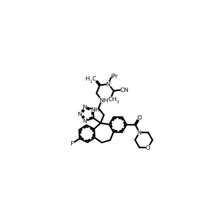 C=C(CNCCC1(c2nnn[nH]2)c2ccc(F)cc2CCc2cc(C(=O)N3CCOCC3)ccc21)N(C(C)C)C(C)C#N